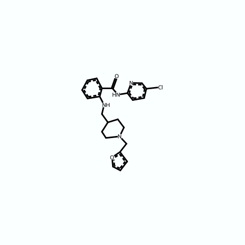 O=C(Nc1ccc(Cl)cn1)c1ccccc1NCC1CCN(Cc2ccco2)CC1